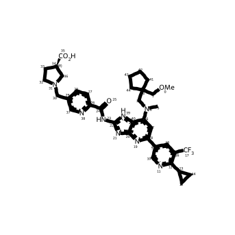 COCC1(CN(C)c2cc(-c3cnc(C4CC4)c(C(F)(F)F)c3)nc3nc(NC(=O)c4ccc(CN5CC[C@@H](C(=O)O)C5)cn4)[nH]c23)CCCC1